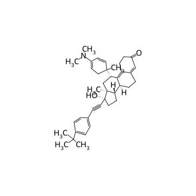 CN(C)C1=CCC(C)([C@H]2C[C@@]3(C)[C@@H](CC[C@@]3(O)C#Cc3ccc(C(C)(C)C)cc3)[C@@H]3CCC4=CC(=O)CCC4=C32)C=C1